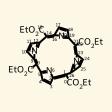 CCOC(=O)C1=C2C=CC(=N2)C(C(=O)OCC)=C2C=CC(=N2)C(C(=O)OCC)=C2C=CC(=N2)C(C(=O)OCC)=C2C=CC1=N2